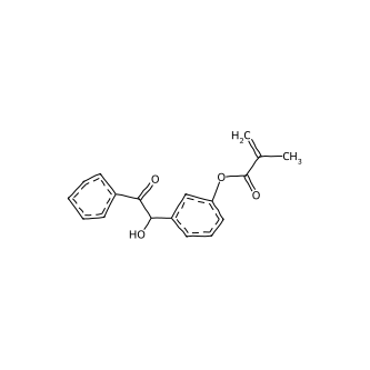 C=C(C)C(=O)Oc1cccc(C(O)C(=O)c2ccccc2)c1